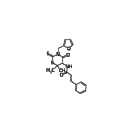 CC1(C)SC(=S)N(Cc2ccco2)C(=O)C1NC(=O)C=Cc1ccccc1